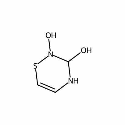 OC1NC=CSN1O